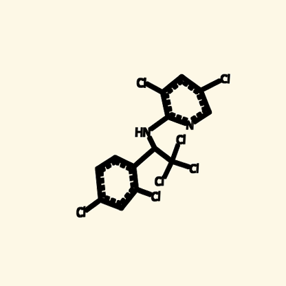 Clc1ccc(C(Nc2ncc(Cl)cc2Cl)C(Cl)(Cl)Cl)c(Cl)c1